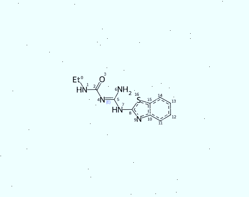 CCNC(=O)/N=C(\N)Nc1nc2ccccc2s1